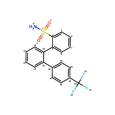 NS(=O)(=O)c1ccccc1-c1ccccc1-c1ccc(C(F)(F)F)cc1